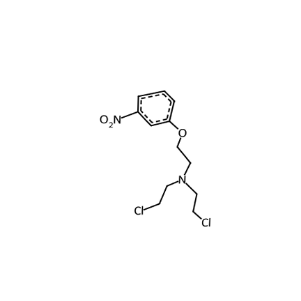 O=[N+]([O-])c1cccc(OCCN(CCCl)CCCl)c1